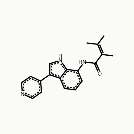 CC(C)=C(C)C(=O)Nc1cccc2c(-c3ccncc3)c[nH]c12